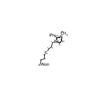 CCCCCCCCCCCCCCCC[n+]1ccn(C)c1C(C)C